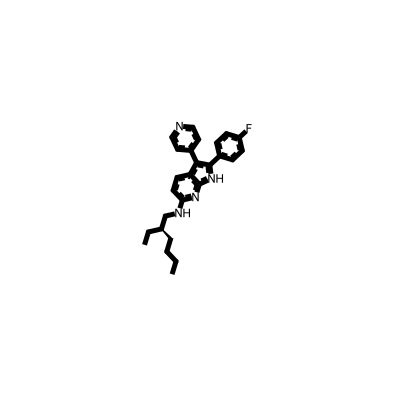 CCCC[C@@H](CC)CNc1ccc2c(-c3ccncc3)c(-c3ccc(F)cc3)[nH]c2n1